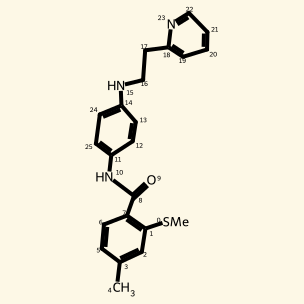 CSc1cc(C)ccc1C(=O)Nc1ccc(NCCc2ccccn2)cc1